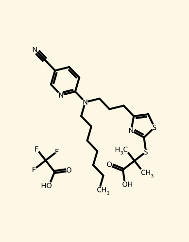 CCCCCCCN(CCCc1csc(SC(C)(C)C(=O)O)n1)c1ccc(C#N)cn1.O=C(O)C(F)(F)F